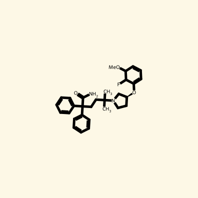 COC1C=CC=C(O[C@H]2CCN(C(C)(C)CCC(C(N)=O)(c3ccccc3)c3ccccc3)C2)C1F